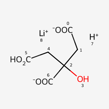 O=C([O-])CC(O)(CC(=O)O)C(=O)[O-].[H+].[Li+]